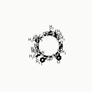 CC[C@H](C)[C@@H]1NC(=O)[C@H](CC(C)C)N(C)C(=O)C[C@@H](C)N(C)C(=O)[C@H](CC(C)C)NC(=O)C(C)(C)N(C)C(=O)[C@H](CC=C(C)C)NC(=O)[C@H](Cc2cccc(I)c2)NC(=O)CN(C)C(=O)[C@H](Cc2ccc(Cl)cc2)N(C)C(=O)[C@@H]2CCN2C(=O)CN(C)C1=O